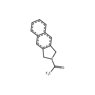 O=C(N1Cc2cc3ccccc3cc2C1)C(F)(F)F